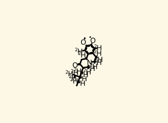 [2H]c1c(OC)c(OC)c([2H])c2c1C1([2H])CC(=O)C(C([2H])([2H])C([2H])(C([2H])([2H])[2H])C([2H])([2H])C)C([2H])([2H])N1C([2H])([2H])C2([2H])[2H]